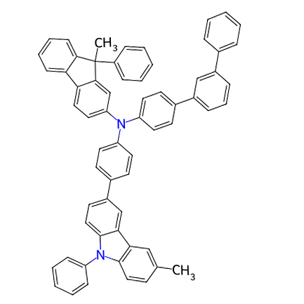 Cc1ccc2c(c1)c1cc(-c3ccc(N(c4ccc(-c5cccc(-c6ccccc6)c5)cc4)c4ccc5c(c4)C(C)(c4ccccc4)c4ccccc4-5)cc3)ccc1n2-c1ccccc1